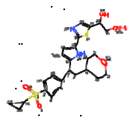 O=S(=O)(c1ccc(C(CC2CCOCC2)c2ccc(-c3ncc(C(O)CO)s3)[nH]2)cc1)C1CC1